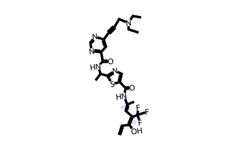 C=C/C(O)=C(\C=C(/C)NC(=O)c1cnc(C(C)NC(=O)c2cc(C#CCN(CC)CC)ncn2)s1)C(F)(F)F